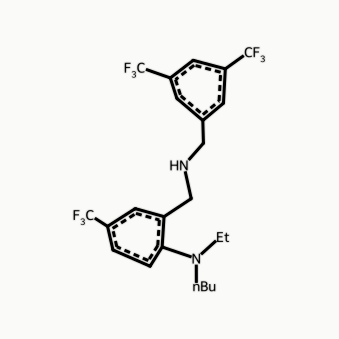 CCCCN(CC)c1ccc(C(F)(F)F)cc1CNCc1cc(C(F)(F)F)cc(C(F)(F)F)c1